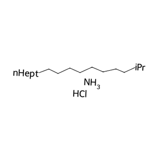 CCCCCCCCCCCCCCCC(C)C.Cl.N